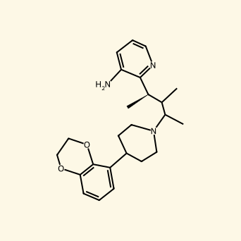 CC(C(C)N1CCC(c2cccc3c2OCCO3)CC1)[C@@H](C)c1ncccc1N